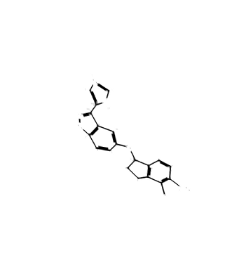 Cc1c(C#N)ccc2c1CCC2Nc1ccc2[nH]nc(-c3cnco3)c2c1